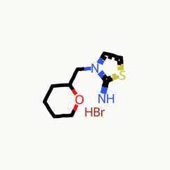 Br.N=c1sccn1CC1CCCCO1